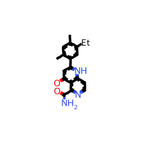 CCc1cc(-c2cc(=O)c3c(C(N)=O)nccc3[nH]2)c(C)cc1C